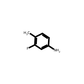 Cc1c[c]c(N)cc1F